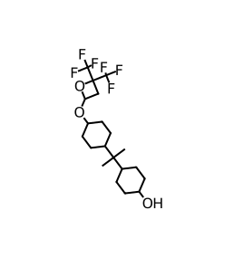 CC(C)(C1CCC(O)CC1)C1CCC(OC2CC(C(F)(F)F)(C(F)(F)F)O2)CC1